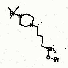 CC(C)O[SiH2]CCCCN1CCN([Si](C)(C)C)CC1